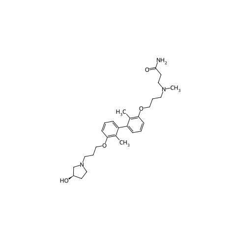 Cc1c(OCCCN(C)CCC(N)=O)cccc1-c1cccc(OCCCN2CC[C@@H](O)C2)c1C